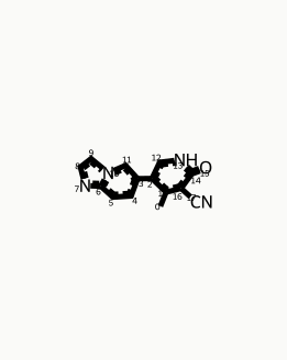 Cc1c(-c2ccc3nccn3c2)c[nH]c(=O)c1C#N